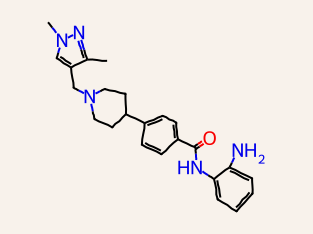 Cc1nn(C)cc1CN1CCC(c2ccc(C(=O)Nc3ccccc3N)cc2)CC1